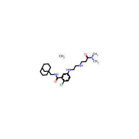 CN(C)C(=O)CCNCCNc1ccc(Cl)c(C(=O)NCC23CCCC(CCC2)C3)c1.[CH2]